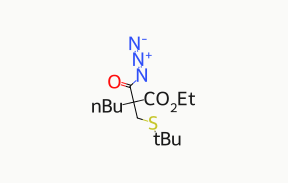 CCCCC(CSC(C)(C)C)(C(=O)N=[N+]=[N-])C(=O)OCC